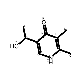 Cc1[nH]cc(C(C)O)c(=O)c1C